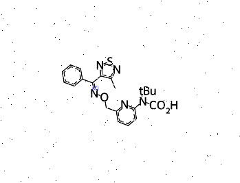 Cc1nsnc1/C(=N\OCc1cccc(N(C(=O)O)C(C)(C)C)n1)c1ccccc1